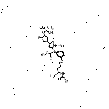 C[C@@H](CCCOc1cc(N(C(=O)OC(C)(C)C)c2cc([C@H]3C[C@@H](F)[C@@H](O[Si](C)(C)C(C)(C)C)C3)nn2C(C)(C)C)ccn1)NC(=O)OC(C)(C)C